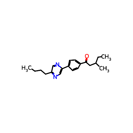 CCCCc1cnc(-c2ccc(C(=O)CC(C)CC)cc2)cn1